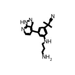 CC(C)(C#N)c1cc(NCCCN)cc(-c2ccnc3[nH]ncc23)c1